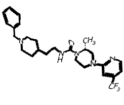 C[C@@H]1CN(c2cc(C(F)(F)F)ccn2)CCN1C(=O)NCCC1CCN(Cc2ccccc2)CC1